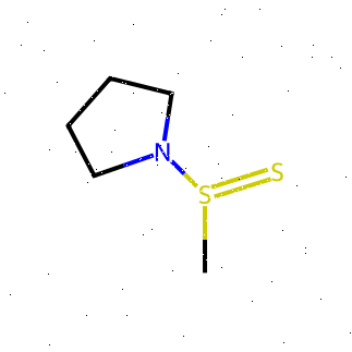 CS(=S)N1CCCC1